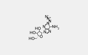 [N-]=[N+]=NN1C=Nc2c(ncn2[C@@H]2O[C@H](CO)C(O)C2O)C1N